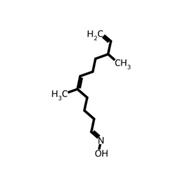 C=CC(C)CCC=C(C)CCCC=NO